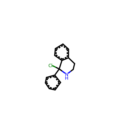 ClC1(c2ccccc2)NCCc2ccccc21